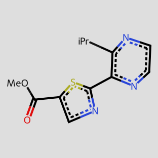 COC(=O)c1cnc(-c2nccnc2C(C)C)s1